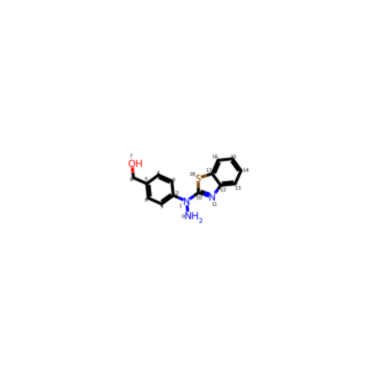 NN(c1ccc(CO)cc1)c1nc2ccccc2s1